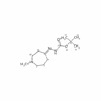 CN1CCCC(=NNC(=O)OC(C)(C)C)CC1